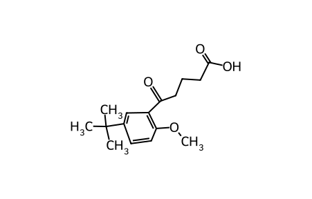 COc1ccc(C(C)(C)C)cc1C(=O)CCCC(=O)O